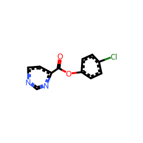 O=C(Oc1ccc(Cl)cc1)c1ccncn1